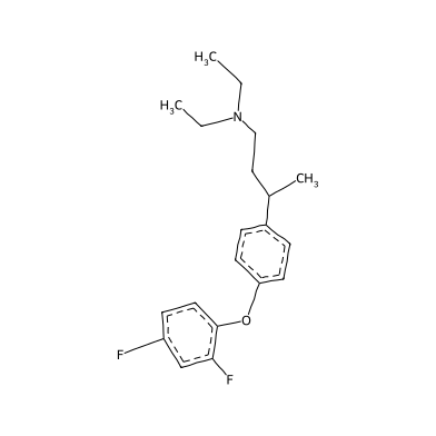 CCN(CC)CCC(C)c1ccc(Oc2ccc(F)cc2F)cc1